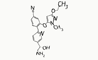 CCOc1cc(Oc2cc(C#N)ccc2-c2ccc([C@H](O)CN)cn2)n(C)n1